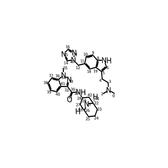 CN(C)CCc1c[nH]c2ccc(Cn3cncn3)cc12.CN1[C@@H]2CCC[C@H]1C[C@@H](NC(=O)c1nn(C)c3ccccc13)C2